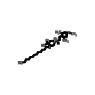 CNc1cc(C)c(/C=C/S(=O)(=O)N2CCC3(CC2)N=C(CCCCCCCCCCCO)NC3=O)c(C)c1